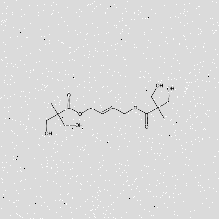 CC(CO)(CO)C(=O)OCC=CCOC(=O)C(C)(CO)CO